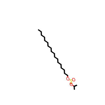 CCCCCCCCCCCCCCCCCCOS(=O)OC(C)C